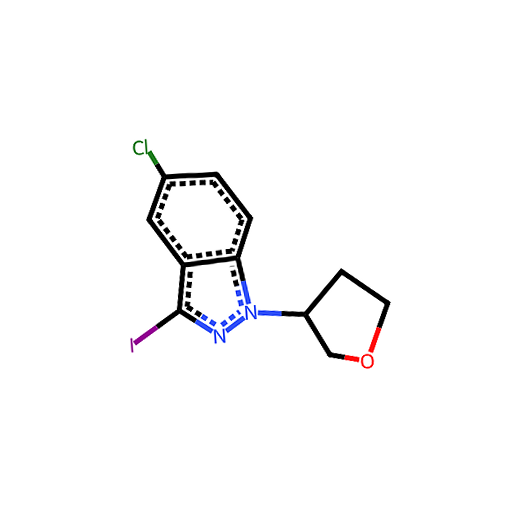 Clc1ccc2c(c1)c(I)nn2C1CCOC1